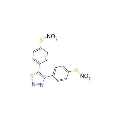 O=[N+]([O-])Sc1ccc(-c2nnsc2-c2ccc(S[N+](=O)[O-])cc2)cc1